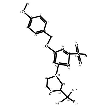 COc1ccc(COc2cc(N3CCOC(C(F)(F)F)C3)nc(S(C)(=O)=O)n2)cc1